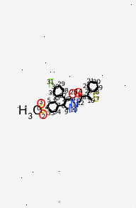 CS(=O)(=O)c1ccc(-c2cnn(CC(=O)c3csc4ccccc34)c(=O)c2-c2ccc(F)cc2)cc1